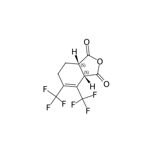 O=C1OC(=O)[C@H]2CCC(C(F)(F)F)=C(C(F)(F)F)[C@@H]12